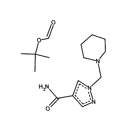 CC(C)(C)OC=O.NC(=O)c1cnn(CN2CCCCC2)c1